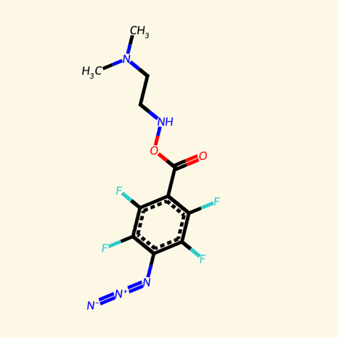 CN(C)CCNOC(=O)c1c(F)c(F)c(N=[N+]=[N-])c(F)c1F